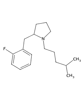 CC(C)CCCN1CCCC1Cc1ccccc1F